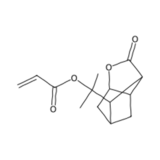 C=CC(=O)OC(C)(C)C1C2CC3OC(=O)C1C3C2